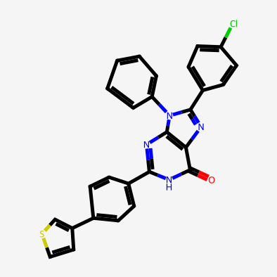 O=c1[nH]c(-c2ccc(-c3ccsc3)cc2)nc2c1nc(-c1ccc(Cl)cc1)n2-c1ccccc1